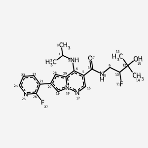 CC(C)Nc1c(C(=O)NCC(F)C(C)(C)O)cnn2cc(-c3cccnc3F)cc12